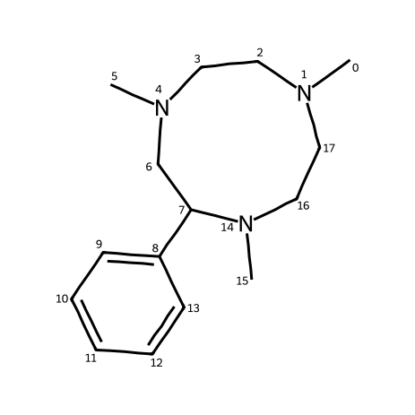 CN1CCN(C)CC(c2ccccc2)N(C)CC1